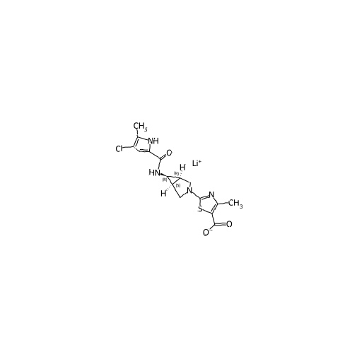 Cc1nc(N2C[C@@H]3[C@H](C2)[C@@H]3NC(=O)c2cc(Cl)c(C)[nH]2)sc1C(=O)[O-].[Li+]